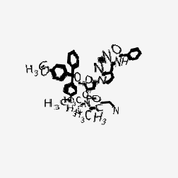 COc1ccc(C(OC[C@H]2O[C@@H](n3ccc4c(NC(=O)c5ccccc5)ncnc43)C[C@@H]2OP(OCCC#N)N(C(C)C)C(C)C)(c2ccccc2)c2ccc(OC)cc2)cc1